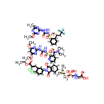 CCOC(=O)/C(Cl)=C/c1cc(N2C(=O)C3=C(CCCC3)C2=O)ccc1Cl.COc1cc(OC)nc(NC(=O)NS(=O)(=O)c2ncccc2C(=O)N(C)C)n1.COc1nc(C)nc(NC(=O)NS(=O)(=O)c2ccccc2CCC(F)(F)F)n1.C[S+](C)C.O=C(O)CNCP(=O)([O-])O